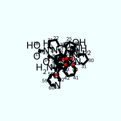 CC1(CC(N)=O)c2ccc(cc2)[C@]1(C(=O)NC(=O)O)N1CCCC1[C@H]1CC[C@H](C2CCCN2[C@@]2(C(=O)NC(=O)O)c3ccc(cc3)C2(C)CC(N)=O)N1c1ccc(-c2cccnc2)cc1